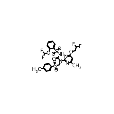 Cc1ccc(S(=O)(=O)CN(C(=O)NS(=O)(=O)c2ccccc2OC(F)F)c2nc(C)cc(OCC(F)F)n2)cc1